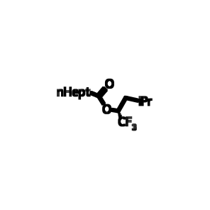 CCCCCCCC(=O)O[C@H](CC(C)C)C(F)(F)F